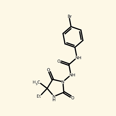 CCC1(C)NC(=O)N(NC(=O)Nc2ccc(Br)cc2)C1=O